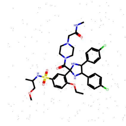 CCOc1ccc(S(=O)(=O)NC(C)COC)cc1C1(C(=O)N2CCN(CC(=O)NC)CC2)NC(c2ccc(Cl)cc2)C(c2ccc(Cl)cc2)N1